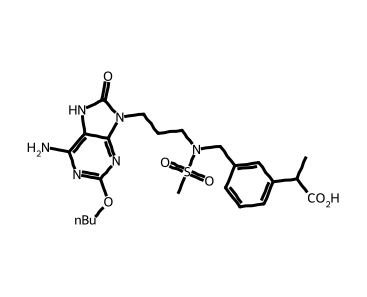 CCCCOc1nc(N)c2[nH]c(=O)n(CCCN(Cc3cccc(C(C)C(=O)O)c3)S(C)(=O)=O)c2n1